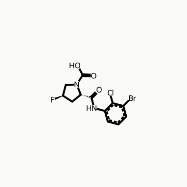 O=C(Nc1cccc(Br)c1Cl)[C@@H]1C[C@@H](F)CN1C(=O)O